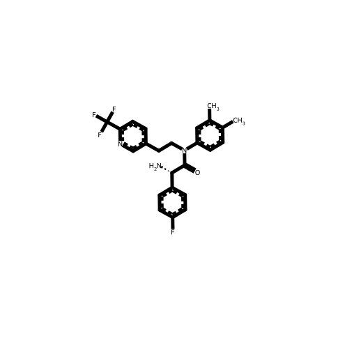 Cc1ccc(N(CCc2ccc(C(F)(F)F)nc2)C(=O)[C@@H](N)c2ccc(F)cc2)cc1C